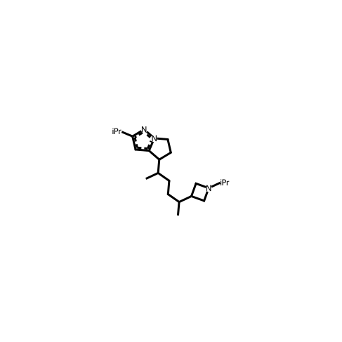 CC(C)c1cc2n(n1)CCC2C(C)CCC(C)C1CN(C(C)C)C1